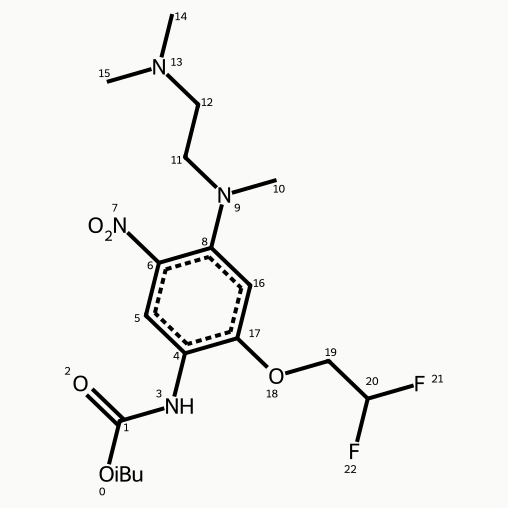 CC(C)COC(=O)Nc1cc([N+](=O)[O-])c(N(C)CCN(C)C)cc1OCC(F)F